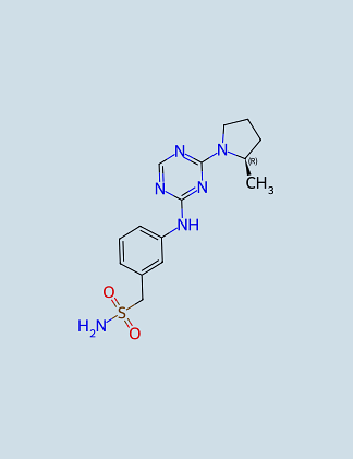 C[C@@H]1CCCN1c1ncnc(Nc2cccc(CS(N)(=O)=O)c2)n1